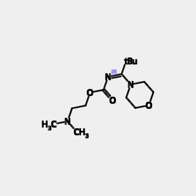 CN(C)CCOC(=O)/N=C(\N1CCOCC1)C(C)(C)C